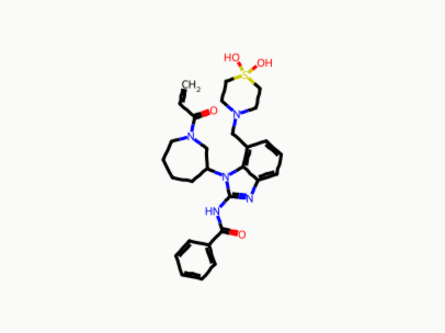 C=CC(=O)N1CCCCC(n2c(NC(=O)c3ccccc3)nc3cccc(CN4CCS(O)(O)CC4)c32)C1